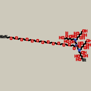 CC[C@@H](O)[C@@H](O)[C@H](O)[C@@H](O)CN(CCN(CCN(C[C@H](O)[C@@H](O)[C@H](O)[C@H](O)CO)C[C@H](O)[C@@H](O)[C@H](O)[C@H](O)CO)C(=O)CCOCCOCCOCCOCCOCCOCCOCCOCCOCCOCCOCCOCCNC)C[C@H](O)[C@@H](O)[C@H](O)[C@H](O)CO